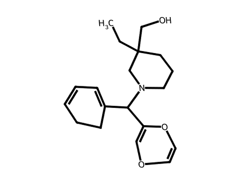 CCC1(CO)CCCN(C(C2=CC=CCC2)C2=COC=CO2)C1